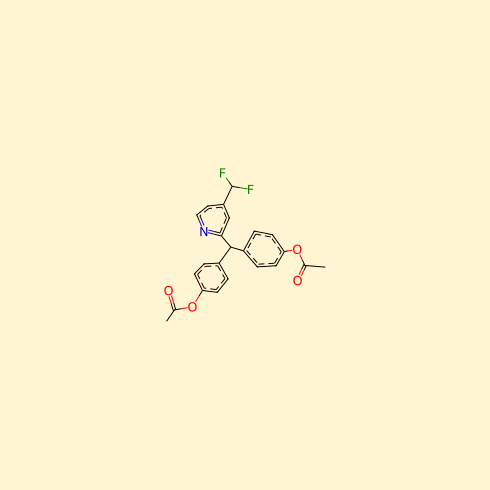 CC(=O)Oc1ccc(C(c2ccc(OC(C)=O)cc2)c2cc(C(F)F)ccn2)cc1